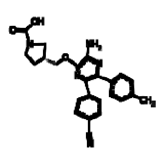 Cc1ccc(-c2nc(N)c(OC[C@@H]3CCN(C(=O)O)C3)nc2-c2ccc(C#N)cc2)cc1